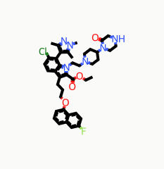 CCOC(=O)c1c(CCCOc2cccc3cc(F)ccc23)c2ccc(Cl)c(-c3c(C)nn(C)c3C)c2n1CCN1CCC(N2CCNCC2=O)CC1